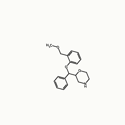 COCc1ccccc1OC(c1ccccc1)C1CNCCO1